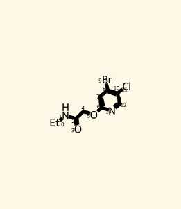 CCNC(=O)COc1cc(Br)c(Cl)cn1